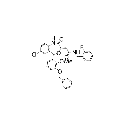 COc1c(OCc2ccccc2)cccc1[C@H]1O[C@H](CC(=O)NCc2ccccc2F)C(=O)Nc2ccc(Cl)cc21